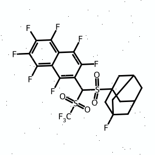 O=S(=O)(C(c1c(F)c(F)c2c(F)c(F)c(F)c(F)c2c1F)S(=O)(=O)C12CC3CC(CC(F)(C3)C1)C2)C(F)(F)F